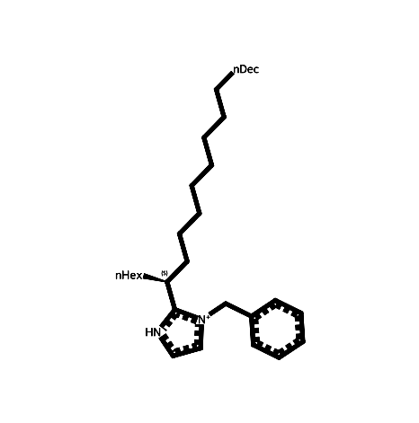 CCCCCCCCCCCCCCCCCC[C@H](CCCCCC)c1[nH]cc[n+]1Cc1ccccc1